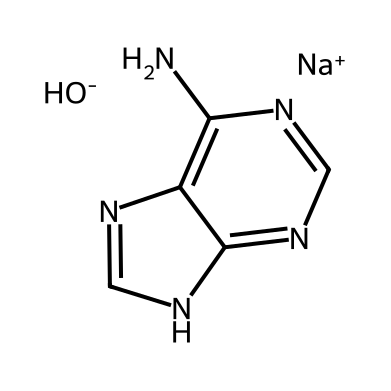 Nc1ncnc2[nH]cnc12.[Na+].[OH-]